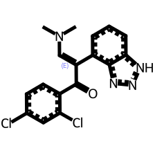 CN(C)/C=C(/C(=O)c1ccc(Cl)cc1Cl)c1cccc2[nH]nnc12